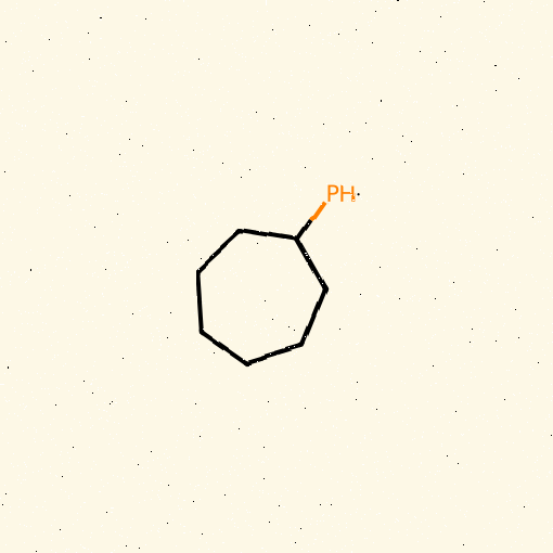 [PH]C1CCCCCC1